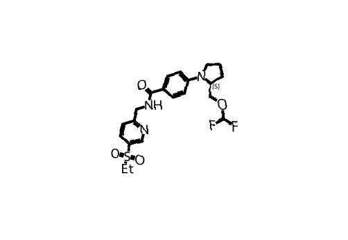 CCS(=O)(=O)c1ccc(CNC(=O)c2ccc(N3CCC[C@H]3COC(F)F)cc2)nc1